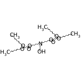 CCC=CCC=CCCOC(CCC(=O)OCCCCCCN(CCCCO)CCCCCCOC(=O)CCC(OCCC=CCC=CCC)OCC/C=C/CC=CCC)OCCC=CCC=CCCC